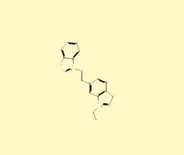 CC[N+]1=CCc2ccc(CC[n+]3coc4ccccc43)cc21